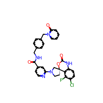 O=C1Nc2ccc(Cl)c(F)c2[C@]2(CCN(c3cc(C(=O)NCc4ccc(Cn5ccccc5=O)cc4)ccn3)C2)O1